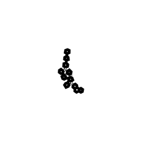 CC1(c2cccc(-c3cccc4c3c3ccccc3n4-c3ccc4c(ccc5ccccc54)c3)c2)CC=CC=C1N(c1ccccc1)c1ccc(-c2ccc(-c3ccccc3)cc2)cc1